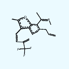 C=CCc1ccc2c(/C=C\C(=C)C(F)(F)F)c(C)oc2c1/C(C)=N\C